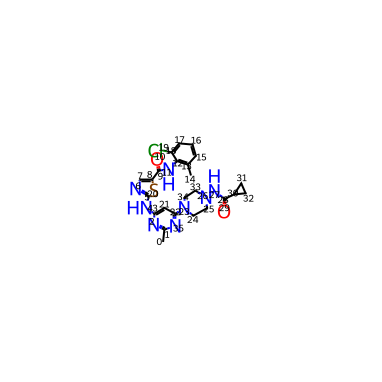 Cc1nc(Nc2ncc(C(=O)Nc3c(C)cccc3Cl)s2)cc(N2CCN(NC(=O)C3CC3)CC2)n1